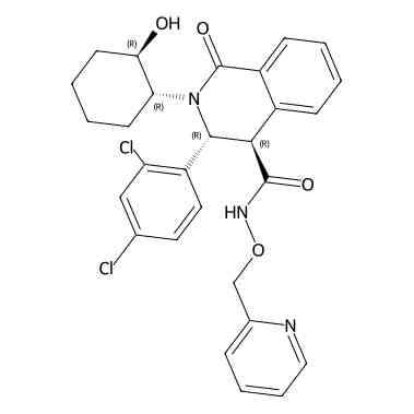 O=C(NOCc1ccccn1)[C@@H]1c2ccccc2C(=O)N([C@@H]2CCCC[C@H]2O)[C@H]1c1ccc(Cl)cc1Cl